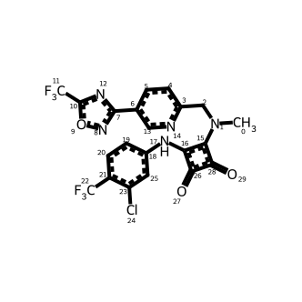 CN(Cc1ccc(-c2noc(C(F)(F)F)n2)cn1)c1c(Nc2ccc(C(F)(F)F)c(Cl)c2)c(=O)c1=O